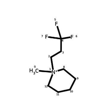 C[N+]1(CCC(F)(F)F)CCCCC1